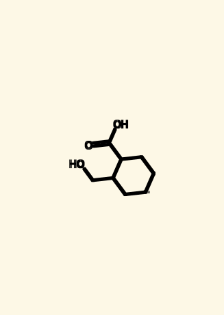 O=C(O)C1CC[CH]CC1CO